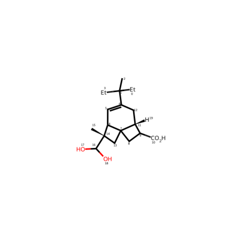 CCC(C)(CC)C1=CC2C3(CC(C(=O)O)[C@H]3C1)C[C@]2(C)C(O)O